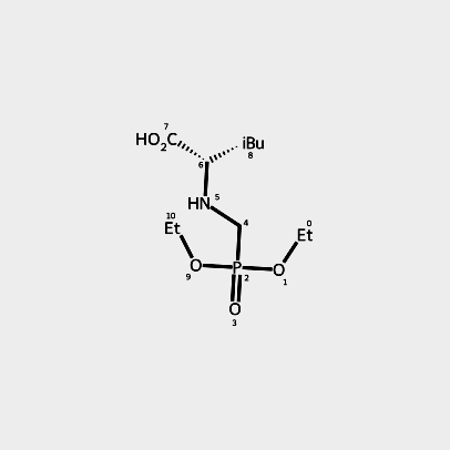 CCOP(=O)(CN[C@H](C(=O)O)[C@@H](C)CC)OCC